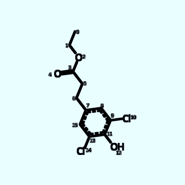 CCOC(=O)CCc1cc(Cl)c(O)c(Cl)c1